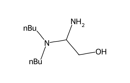 CCCCN(CCCC)C(N)CO